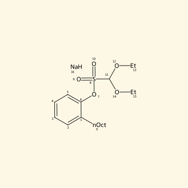 CCCCCCCCc1ccccc1OS(=O)(=O)C(OCC)OCC.[NaH]